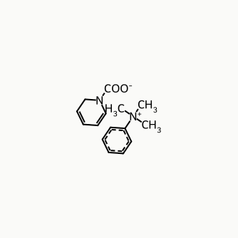 C[N+](C)(C)c1ccccc1.O=C([O-])N1C=CC=CC1